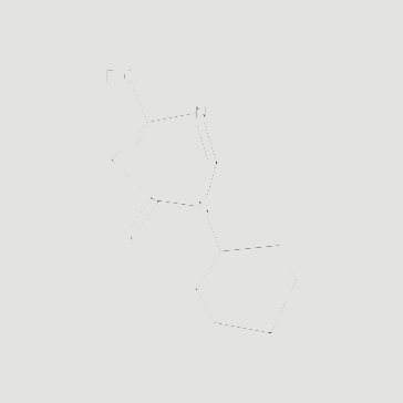 O=c1cc(C(F)(F)F)ncn1C1CCCCC1